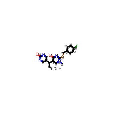 CCCCCCCCCCCC(c1cnc(=O)[nH]c1)c1cn(C)c(SCc2ccc(F)cc2)nc1=O